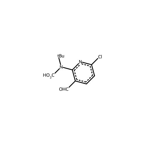 CC(C)(C)N(C(=O)O)c1nc(Cl)ccc1C=O